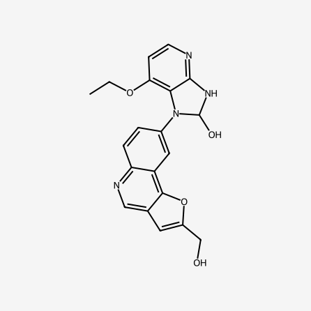 CCOc1ccnc2c1N(c1ccc3ncc4cc(CO)oc4c3c1)C(O)N2